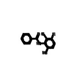 O=C(Nc1c(O)ccc(Cl)c1Cl)c1ccccc1